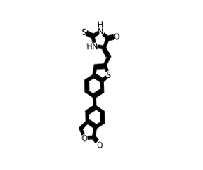 O=C1NC(=S)N/C1=C\c1cc2ccc(-c3ccc4c(c3)COC4=O)cc2s1